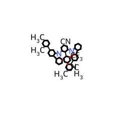 Cc1ccc(-c2ccc3c4ccccc4n(-c4cc(C#N)cc(-n5c6ccccc6c6ccc(-c7ccc(C)cc7C)cc65)c4-c4ccc(C#N)cc4C(F)(F)F)c3c2)c(C)c1